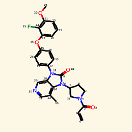 C=CC(=O)N1CCC(n2c(=O)n(-c3ccc(Oc4cccc(OC)c4F)cc3)c3cncc(C)c32)C1